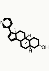 C[C@]12CC[C@H]3C(CC[C@H]4C[C@@H](O)CC[C@@]43C)C1=CC=C2c1cccnc1